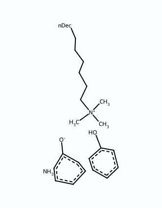 CCCCCCCCCCCCCCCC[N+](C)(C)C.N.Oc1ccccc1.[O-]c1ccccc1